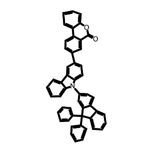 O=c1oc2ccccc2c2ccc(-c3ccc4c(c3)c3ccccc3n4-c3ccc4c(c3)C(c3ccccc3)(c3ccccc3)c3ccccc3-4)cc12